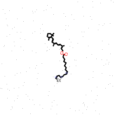 CC/C=C\C/C=C\C/C=C\CCCCCCCC(=O)OCC=C(C)C=CC=C(C)C=CC1=C(C)CCCC1(C)C